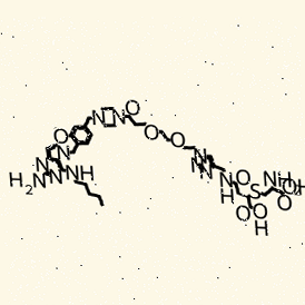 CCCCCNc1nc(N)nc2ccn(Cc3ccc(CN4CCN(C(=O)CCOCCOCCn5cc(CNC(=O)C[C@@H](SC[C@H](N)C(=O)O)C(=O)O)nn5)CC4)cc3OC)c12